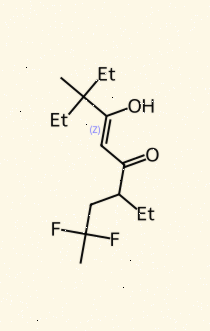 CCC(CC(C)(F)F)C(=O)/C=C(\O)C(C)(CC)CC